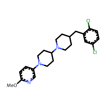 COc1ccc(N2CCC(N3CCC(Cc4cc(Cl)ccc4Cl)CC3)CC2)cn1